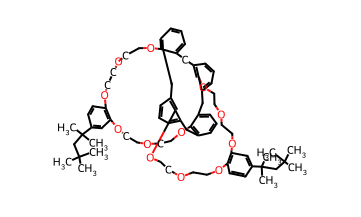 CC(C)(C)CC(C)(C)c1ccc2c(c1)OCCOCCOc1c3cccc1Cc1cccc4c1OCCOCCOc1cc(C(C)(C)CC(C)(C)C)ccc1OCCOCCOc1c(cccc1C3)Cc1cccc(c1OCCOCCO2)C4